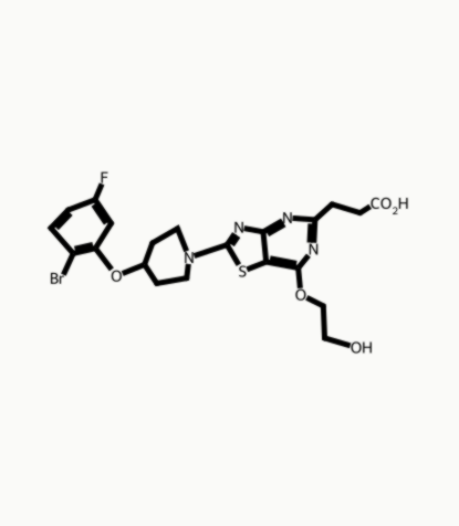 O=C(O)CCc1nc(OCCO)c2sc(N3CCC(Oc4cc(F)ccc4Br)CC3)nc2n1